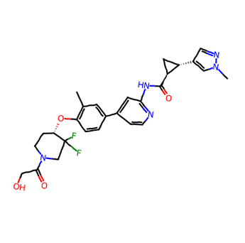 Cc1cc(-c2ccnc(NC(=O)[C@H]3C[C@@H]3c3cnn(C)c3)c2)ccc1O[C@H]1CCN(C(=O)CO)CC1(F)F